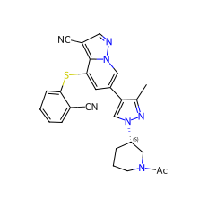 CC(=O)N1CCC[C@H](n2cc(-c3cc(Sc4ccccc4C#N)c4c(C#N)cnn4c3)c(C)n2)C1